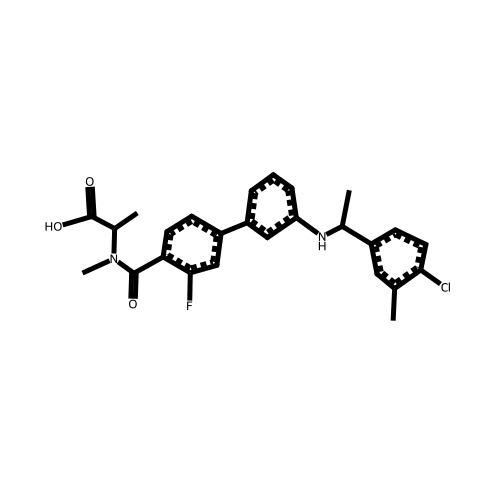 Cc1cc(C(C)Nc2cccc(-c3ccc(C(=O)N(C)C(C)C(=O)O)c(F)c3)c2)ccc1Cl